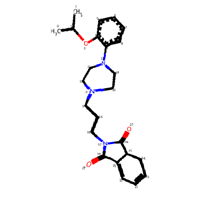 CC(C)Oc1ccccc1N1CCN(CCCN2C(=O)C3=CC=CCC3C2=O)CC1